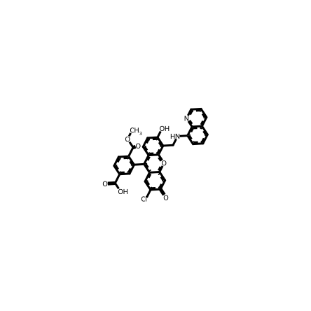 COC(=O)c1ccc(C(=O)O)cc1-c1c2cc(Cl)c(=O)cc-2oc2c(CNc3cccc4cccnc34)c(O)ccc12